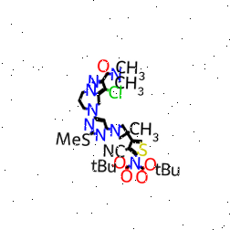 CSc1nc(N2CCCn3nc(C(=O)N(C)C)c(Cl)c3C2)cc(N2CC(C)(c3csc(N(C(=O)OC(C)(C)C)C(=O)OC(C)(C)C)c3C#N)C2)n1